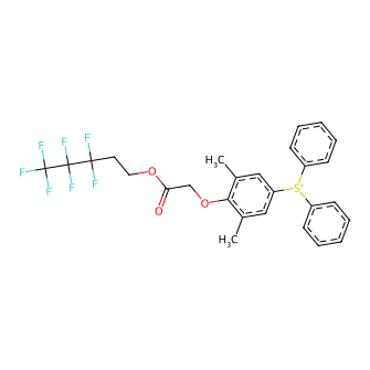 Cc1cc([S+](c2ccccc2)c2ccccc2)cc(C)c1OCC(=O)OCCC(F)(F)C(F)(F)C(F)(F)F